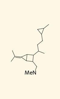 CNCC1C2C(=C(C)C)C2C1C(C)CCC1CC1C